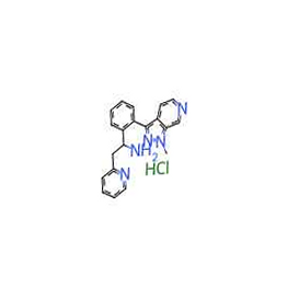 Cl.Cn1nc(-c2ccccc2C(N)Cc2ccccn2)c2ccncc21